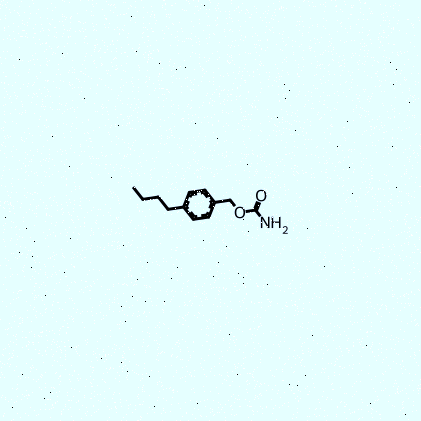 CCCCc1ccc(COC(N)=O)cc1